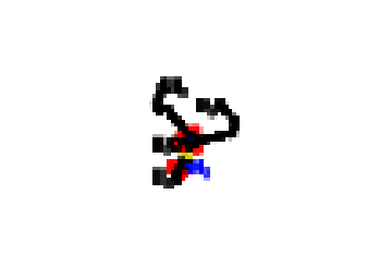 CCCCC/C=C\C/C=C\CCCCCCCC(=O)N(C(=O)CCCCCCC/C=C\C/C=C\CCCCC)[C@@H](CSSCC(N)C(=O)OC)C(=O)OC